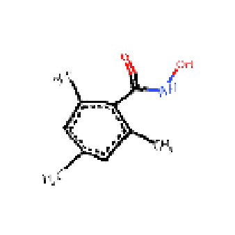 Cc1cc(C)c(C(=O)NO)c(C)c1